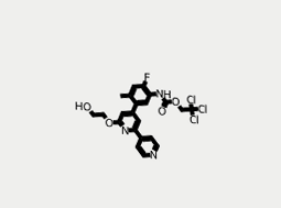 Cc1cc(F)c(NC(=O)OCC(Cl)(Cl)Cl)cc1-c1cc(OCCO)nc(-c2ccncc2)c1